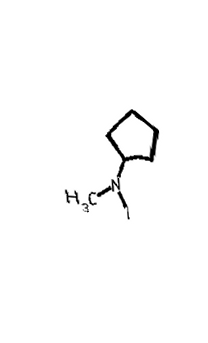 CN(I)C1CCCC1